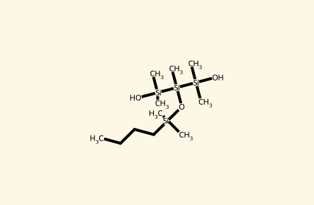 CCCC[Si](C)(C)O[Si](C)([Si](C)(C)O)[Si](C)(C)O